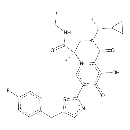 CCNC(=O)[C@@]1(C)CN([C@H](C)C2CC2)C(=O)c2c(O)c(=O)c(-c3ncc(Cc4ccc(F)cc4)s3)cn21